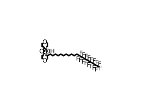 O=P(O)(N1CCOCC1)N1CCOCC1CCCCCCCCCCCC(F)(F)C(F)(F)C(F)(F)C(F)(F)C(F)(F)C(F)(F)C(F)(F)C(F)(F)F